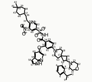 CC(C)c1ccccc1[C@H]1COCCN1C1CC2(CCN(c3ccc(C(=O)NS(=O)(=O)c4cnc(CCC5CCC(C)(C)CC5)c([N+](=O)[O-])c4)c(Oc4cnc5[nH]ccc5c4)c3)CC2)C1